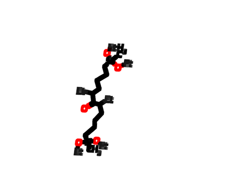 CCO[Si](C)(CCCCC(CC)C(=O)C(CC)CCCC[Si](C)(OCC)OCC)OCC